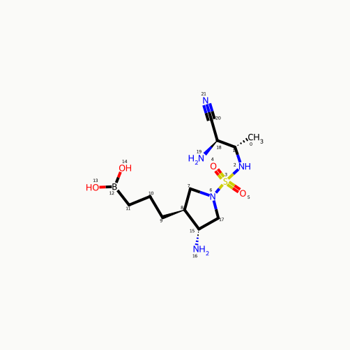 C[C@H](NS(=O)(=O)N1C[C@H](CCCB(O)O)[C@@H](N)C1)[C@@H](N)C#N